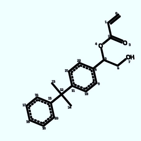 C=CC(=O)OC(CO)c1ccc(C(C)(C)c2ccccc2)cc1